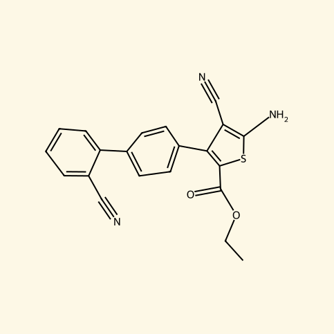 CCOC(=O)c1sc(N)c(C#N)c1-c1ccc(-c2ccccc2C#N)cc1